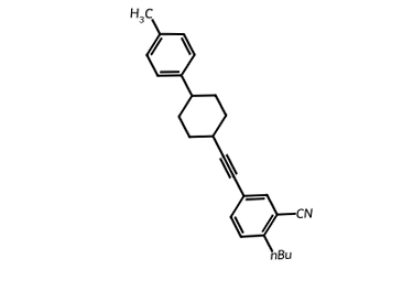 CCCCc1ccc(C#CC2CCC(c3ccc(C)cc3)CC2)cc1C#N